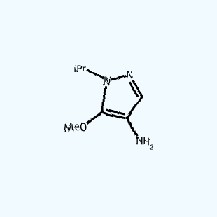 COc1c(N)cnn1C(C)C